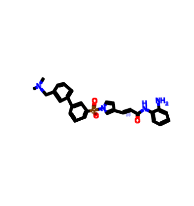 CN(C)Cc1cccc(-c2cccc(S(=O)(=O)n3ccc(/C=C/C(=O)Nc4ccccc4N)c3)c2)c1